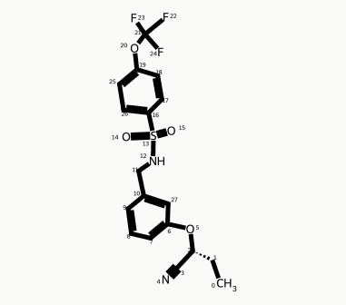 CC[C@H](C#N)Oc1cccc(CNS(=O)(=O)c2ccc(OC(F)(F)F)cc2)c1